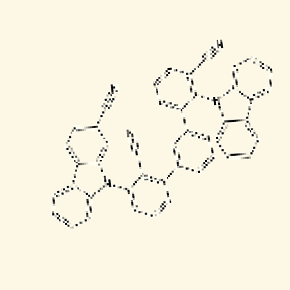 N#Cc1ccc2c3ccccc3n(-c3cccc(-c4cccc(-c5cccc(C#N)c5-n5c6ccccc6c6ccccc65)c4)c3C#N)c2c1